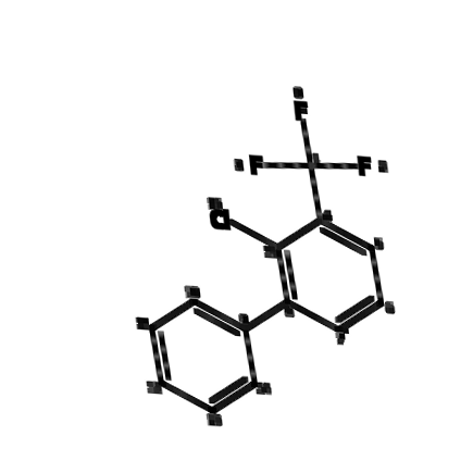 FC(F)(F)c1cc[c]c(-c2ccccc2)c1Cl